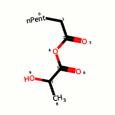 CCCCCCC(=O)OC(=O)C(C)O